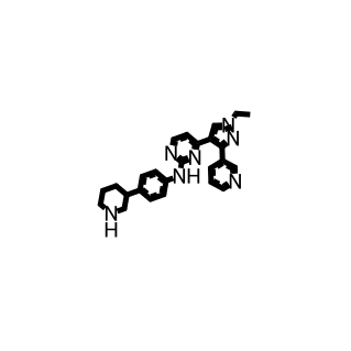 CCn1cc(-c2ccnc(Nc3ccc(C4CCCNC4)cc3)n2)c(-c2cccnc2)n1